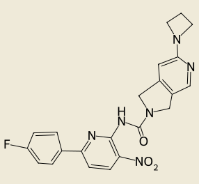 O=C(Nc1nc(-c2ccc(F)cc2)ccc1[N+](=O)[O-])N1Cc2cnc(N3CCC3)cc2C1